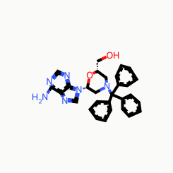 Nc1ncnc2c1ncn2[C@H]1CN(C(c2ccccc2)(c2ccccc2)c2ccccc2)C[C@@H](CO)O1